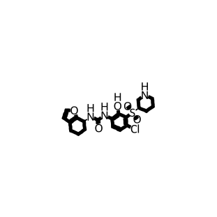 O=C(Nc1ccc(Cl)c(S(=O)(=O)[C@H]2CCCNC2)c1O)N[C@@H]1CCCc2ccoc21